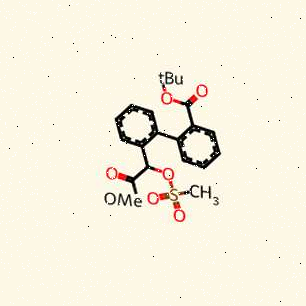 COC(=O)C(OS(C)(=O)=O)c1ccccc1-c1ccccc1C(=O)OC(C)(C)C